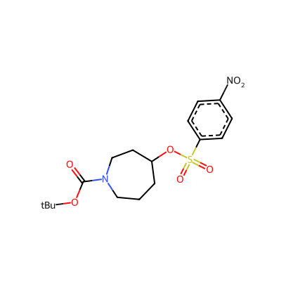 CC(C)(C)OC(=O)N1CCCC(OS(=O)(=O)c2ccc([N+](=O)[O-])cc2)CC1